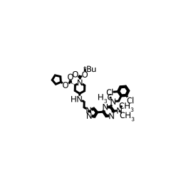 CN(C)c1ncc(-c2cnn(CCNC3CCN(C(=O)OC(C)(C)C)[C@@H](C(=O)OC4CCCC4)C3)c2)nc1N(C)Cc1c(Cl)cccc1Cl